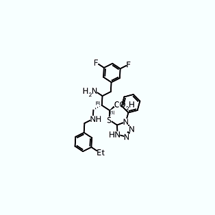 CCc1cccc(CNC[C@H](C(N)Cc2cc(F)cc(F)c2)[C@H](SC2NN=NN2c2ccccc2)C(=O)O)c1